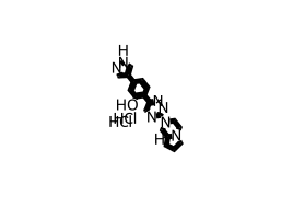 Cl.Cl.Oc1cc(-c2cn[nH]c2)ccc1-c1cnc(N2CCN3CCC[C@H]3C2)nn1